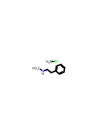 O=C(O)NCCc1ccccc1.[SiH3]Cl